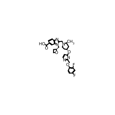 C[C@H]1C[C@@H](Oc2ccnc(COc3ccc(F)cc3F)n2)CCN1Cc1nc2ccc(C(=O)O)cc2n1C[C@@H]1CCO1